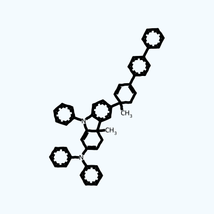 CC1(c2ccc3c(c2)C2(C)CC=C(N(c4ccccc4)c4ccccc4)C=C2N3c2ccccc2)C=CC(c2ccc(-c3ccccc3)cc2)=CC1